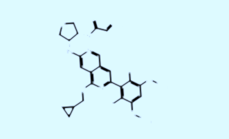 C=CC(=O)N[C@H]1COC[C@H]1Nc1cc2c(OCC3CC3)nc(-c3c(Cl)c(OC)cc(OC)c3Cl)cc2cn1